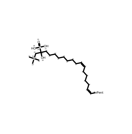 CCCCC/C=C\CCCC/C=C\CCCCCCCCC(O)(C[N+](C)(C)C)P(=O)(O)O